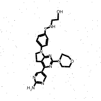 Nc1ncc(-c2nc(N3CCOCC3)nc3c2CCN3c2ccc(SNCCO)cc2)cn1